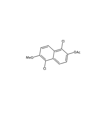 COc1ccc2c(Cl)c(OC(C)=O)ccc2c1Cl